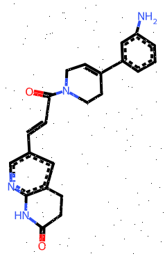 Nc1cccc(C2=CCN(C(=O)C=Cc3cnc4c(c3)CCC(=O)N4)CC2)c1